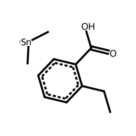 CCc1ccccc1C(=O)O.[CH3][Sn][CH3]